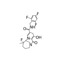 CC1(F)CCCN2CC1N1C=C(C(=O)NCc3c(F)cc(F)cc3F)CC(O)=C1C2=O